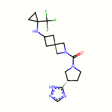 O=C(N1CC[C@H](c2ncn[nH]2)C1)N1CC2(CC(NC3(C(F)(F)F)CC3)C2)C1